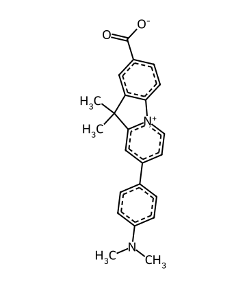 CN(C)c1ccc(-c2cc[n+]3c(c2)C(C)(C)c2cc(C(=O)[O-])ccc2-3)cc1